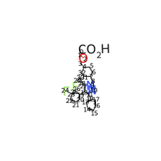 O=C(O)COC[C@H]1CC[C@@H](Cn2nc(-c3ccccc3)c(-c3cccc(F)c3F)c2C2CC2)CC1